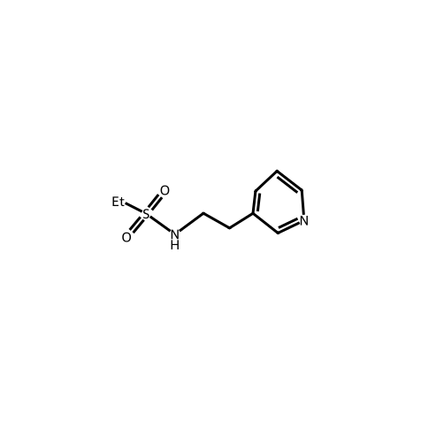 CCS(=O)(=O)NCCc1cccnc1